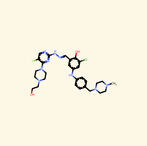 CN1CCN(Cc2ccc(Nc3cc(Cl)c(O)c(/C=N/Nc4ncc(F)c(N5CCN(CCO)CC5)n4)c3)cc2)CC1